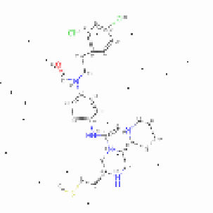 CSCC[C@H]1CN(/C(=C\N2CCCCC2)Nc2ccc(N(C=O)CCc3ccc(Cl)cc3Cl)cc2)CCN1